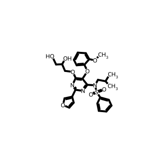 COc1ccccc1Oc1c(OCC(O)CO)nc(-c2ccoc2)nc1N(CC(C)C)S(=O)(=O)c1ccccc1